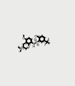 COc1ccc(NS(=O)(=O)c2cc(C(F)(F)F)ccc2Cl)c2c1C[C@@H](N(C)C)CO2